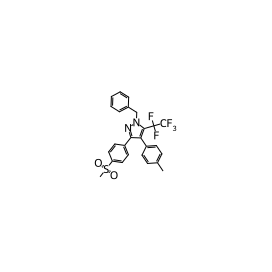 Cc1ccc(-c2c(-c3ccc(S(C)(=O)=O)cc3)nn(Cc3ccccc3)c2C(F)(F)C(F)(F)F)cc1